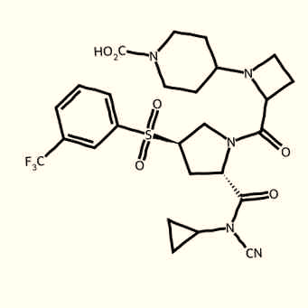 N#CN(C(=O)[C@@H]1C[C@@H](S(=O)(=O)c2cccc(C(F)(F)F)c2)CN1C(=O)C1CCN1C1CCN(C(=O)O)CC1)C1CC1